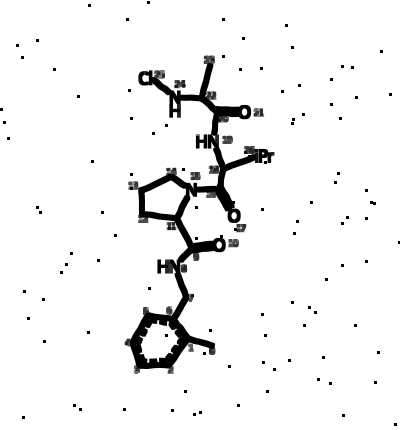 Cc1ccccc1CNC(=O)C1CCCN1C(=O)C(NC(=O)C(C)NCl)C(C)C